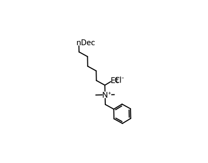 CCCCCCCCCCCCCCCC(CC)[N+](C)(C)Cc1ccccc1.[Cl-]